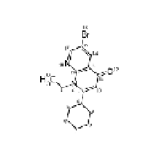 CCn1c(C2CCCCC2)cc(=O)c2cc(Br)cnc21